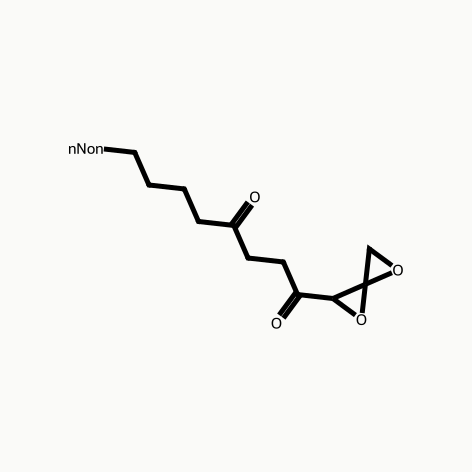 CCCCCCCCCCCCCC(=O)CCC(=O)C1OC12CO2